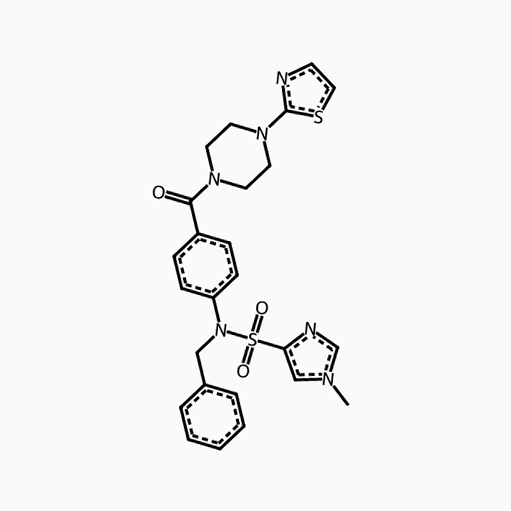 Cn1cnc(S(=O)(=O)N(Cc2ccccc2)c2ccc(C(=O)N3CCN(c4nccs4)CC3)cc2)c1